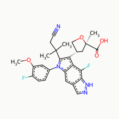 COc1cc(-n2c(C(C)(C)CC#N)c([C@@H]3CO[C@@](C)(C(=O)O)C3)c3c(F)c4[nH]ncc4cc32)ccc1F